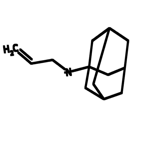 C=CC[N]C12CC3CC(CC(C3)C1)C2